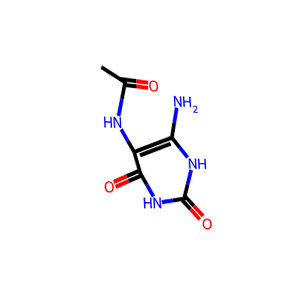 CC(=O)Nc1c(N)[nH]c(=O)[nH]c1=O